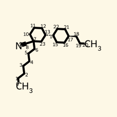 CCCCCCCC1(C#N)CCCC([C@H]2CC[C@H](CCC)CC2)C1